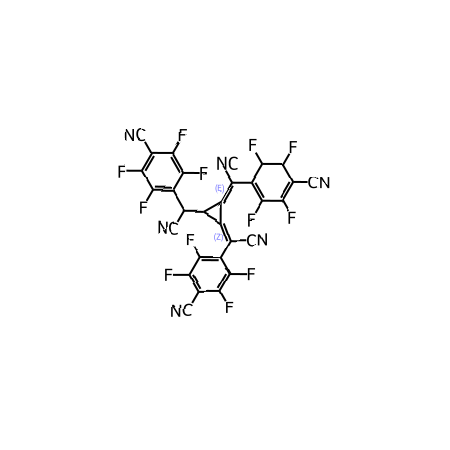 N#CC1=C(F)C(F)=C(/C(C#N)=C2\C(=C(/C#N)c3c(F)c(F)c(C#N)c(F)c3F)C2C(C#N)c2c(F)c(F)c(C#N)c(F)c2F)C(F)C1F